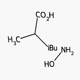 CCC(C)C(C)C(=O)O.NO